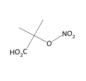 CC(C)(O[N+](=O)[O-])C(=O)O